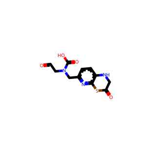 O=CCN(Cc1ccc2c(n1)SC(=O)CN2)C(=O)O